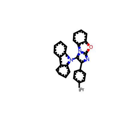 CC(C)c1ccc(-c2nc3oc4ccccc4n3c2-n2c3ccccc3c3ccccc32)cc1